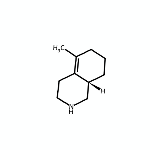 CC1=C2CCNC[C@H]2CCC1